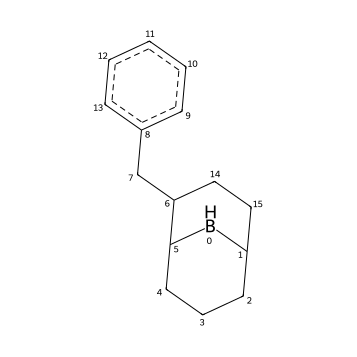 B1C2CCCC1C(Cc1ccccc1)CC2